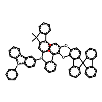 CC1(C)c2ccccc2-c2ccc(N(c3ccc4c(c3)c3ccccc3n4-c3ccccc3)c3ccccc3-c3cccc4c3Oc3c(ccc5c3-c3ccccc3C53c5ccccc5-c5ccccc53)O4)cc21